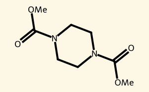 COC(=O)N1CCN(C(=O)OC)CC1